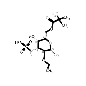 CCO[C@H]1[C@H](NS(=O)(=O)O)[C@H](O)[C@@H](COC(=O)C(C)(C)C)O[C@@H]1O